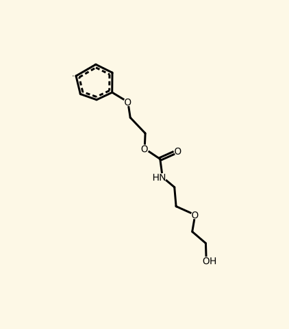 O=C(NCCOCCO)OCCOc1cc[c]cc1